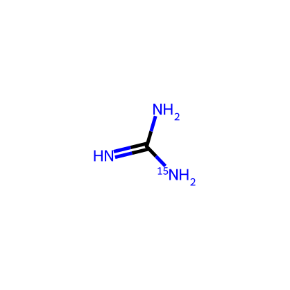 N=C(N)[15NH2]